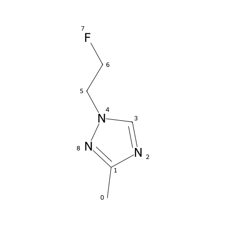 Cc1ncn(CCF)n1